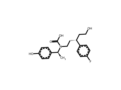 C[C@@H](c1ccc(O)cc1)N(CC[C@H](CCO)c1ccc(F)cc1)C(=O)O